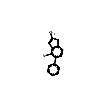 CC1=Cc2c(ccc(-c3ccccc3)c2Br)C1